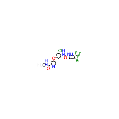 CNC(=O)c1cc(Oc2ccc(NC(=O)Nc3ccc(Br)c(C(F)(F)F)c3)c(Cl)c2)ccn1